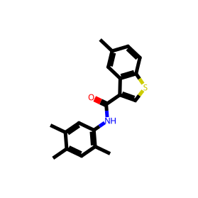 Cc1ccc2scc(C(=O)Nc3cc(C)c(C)cc3C)c2c1